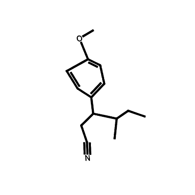 CCC(C)C(CC#N)c1ccc(OC)cc1